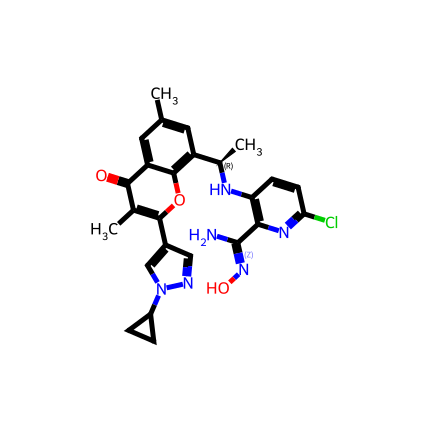 Cc1cc([C@@H](C)Nc2ccc(Cl)nc2/C(N)=N/O)c2oc(-c3cnn(C4CC4)c3)c(C)c(=O)c2c1